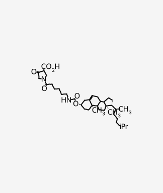 CC(C)CCC[C@H](C)[C@H]1CCC2C3CC=C4C[C@@H](OC(=O)NCCCCCC(=O)N5CC(=O)C(C(=O)O)C5)CC[C@]4(C)C3CC[C@@]21C